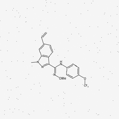 C=Cc1ccc2c(/C(=N/OC)Nc3ccc(OC(F)(F)F)cc3)nn(C)c2c1